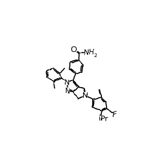 Cc1cc(F)c(C(C)C)cc1N1Cc2nn(-c3c(C)cccc3C)c(-c3ccc(C(N)=O)cc3)c2C1